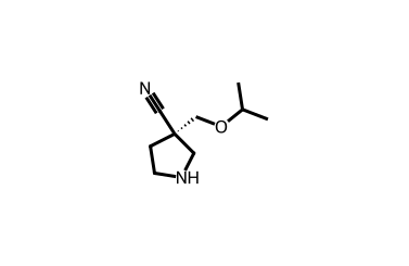 CC(C)OC[C@@]1(C#N)CCNC1